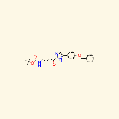 Cn1c(-c2ccc(OCc3ccccc3)cc2)cnc1C(=O)CCCNC(=O)OC(C)(C)C